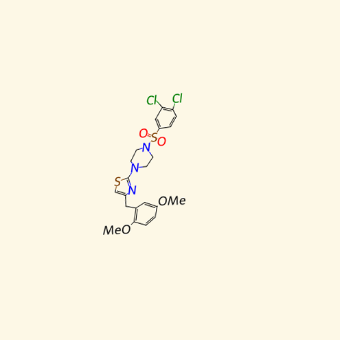 COc1ccc(OC)c(Cc2csc(N3CCN(S(=O)(=O)c4ccc(Cl)c(Cl)c4)CC3)n2)c1